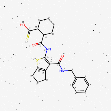 O=C(NCc1ccccc1)c1c(NC(=O)C2CCCCC2C(O)=S)sc2c1CCC2